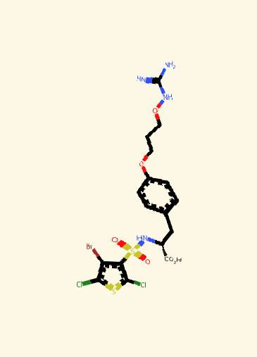 N=C(N)NOCCCOc1ccc(C[C@H](NS(=O)(=O)c2c(Cl)sc(Cl)c2Br)C(=O)O)cc1